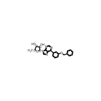 C[C@H]1O[C@@H](n2cnc3c(-c4cccc(OCc5ccccc5)c4)ncnc32)[C@H](O)[C@H]1O